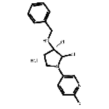 Cl.Fc1ccc(N2CC[C@@](Cl)(NCc3ccccc3)C2Cl)cn1